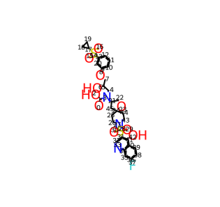 O=C(O)N(C[C@H](O)COc1cccc(S(=O)(=O)C2CC2)c1)[C@H]1COC2(CCN(S(=O)(=O)c3cnc4cc(F)ccc4c3O)CC2)C1